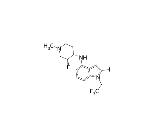 CN1CC[C@H](Nc2cccc3c2cc(I)n3CC(F)(F)F)[C@@H](F)C1